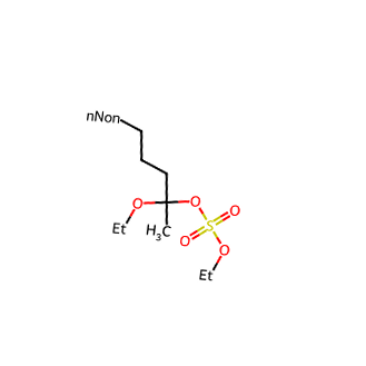 CCCCCCCCCCCCC(C)(OCC)OS(=O)(=O)OCC